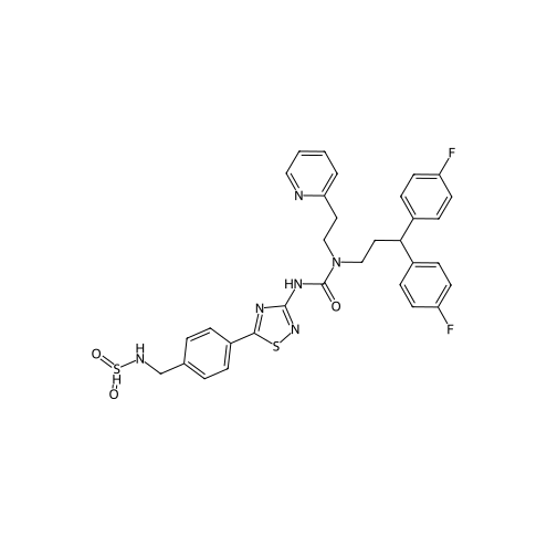 O=C(Nc1nsc(-c2ccc(CN[SH](=O)=O)cc2)n1)N(CCc1ccccn1)CCC(c1ccc(F)cc1)c1ccc(F)cc1